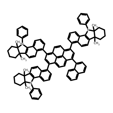 CC12CCCCC1(C)N(c1ccccc1)c1c2ccc2c(-c3cc(-c4cccc5ccccc45)c4ccc5c(-c6cccc7c8c(ccc67)C6(C)CCCCC6(C)N8c6ccccc6)cc(-c6cccc7c8c(ccc67)C6(C)CCCCC6(C)N8c6ccccc6)c6ccc3c4c56)cccc12